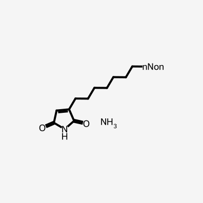 CCCCCCCCCCCCCCCCC1=CC(=O)NC1=O.N